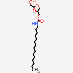 CCCCCCCCCCCCCCCNC(=O)OCC1COC(CO)O1